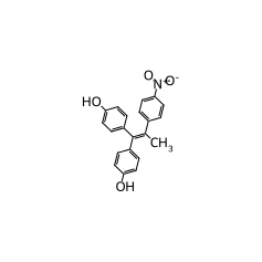 CC(=C(c1ccc(O)cc1)c1ccc(O)cc1)c1ccc([N+](=O)[O-])cc1